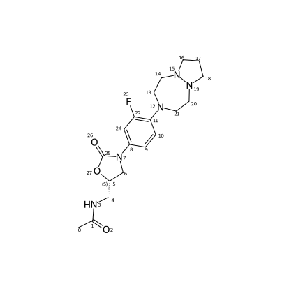 CC(=O)NC[C@H]1CN(c2ccc(N3CCN4CCCN4CC3)c(F)c2)C(=O)O1